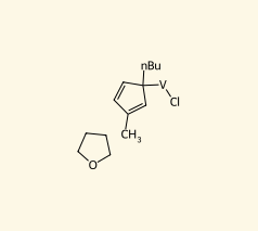 C1CCOC1.CCCC[C]1([V][Cl])C=CC(C)=C1